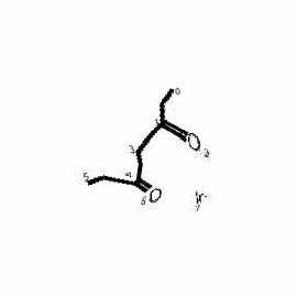 CC(=O)CC(C)=O.[Ir]